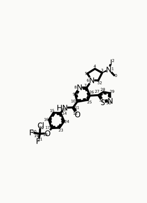 CN(I)[C@@H]1CCN(c2ncc(C(=O)Nc3ccc(OC(F)(F)Cl)cc3)cc2-c2ccns2)C1